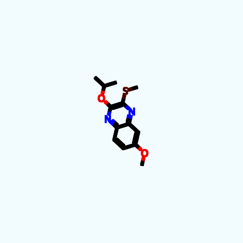 COc1ccc2nc(OC(C)C)c(SC)nc2c1